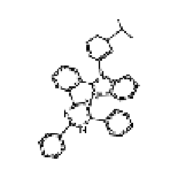 CC(C)C1C=C(n2c(-c3ccccc3-c3nc(-c4ccccc4)nc(-c4ccccc4)n3)nc3ccccc32)C=CC1